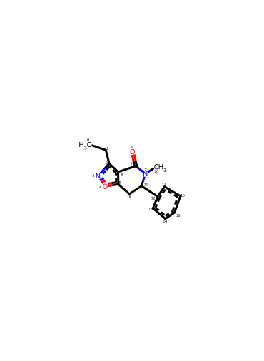 CCc1noc2c1C(=O)N(C)C(c1ccccc1)C2